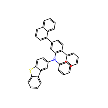 c1ccc(-c2ccc(-c3cccc4ccccc34)cc2N(c2ccccc2)c2ccc3sc4ccccc4c3c2)cc1